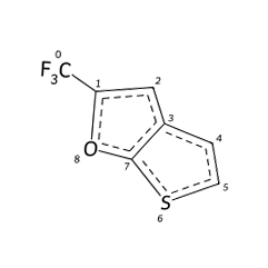 FC(F)(F)c1cc2ccsc2o1